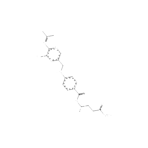 CNC(=O)CC[C@H](NC(=O)c1ccc(NCc2cnc(N=C(C)C)c(C(C)=O)n2)cc1)C(=O)O